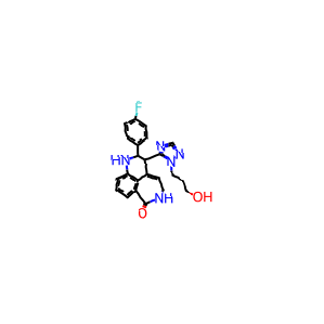 O=C1NCC=C2c3c(cccc31)NC(c1ccc(F)cc1)C2c1ncnn1CCCO